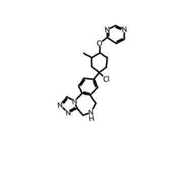 CC1CC(Cl)(c2ccc3c(c2)CNCc2nncn2-3)CCC1Oc1ccncn1